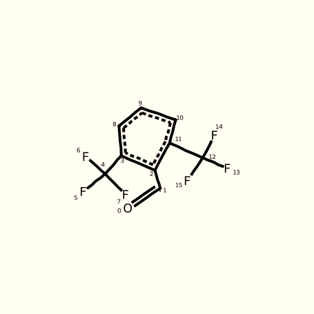 O=[C]c1c(C(F)(F)F)cccc1C(F)(F)F